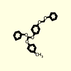 Cc1ccc(OC(Oc2ccccc2)Oc2ccc(OCOc3ccccc3)cc2)cc1